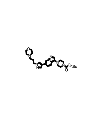 CC(C)(C)OC(=O)N1CCN(c2cnn3cc(-c4cnn(CCCN5CCOCC5)c4)ccc23)CC1